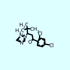 CC(C)(C)C(CC(=O)c1ccc(Cl)cc1Cl)n1cncn1